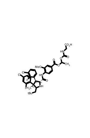 COc1cc(C(=O)OC(C)OC(=O)NCC(=O)O)ccc1NC(=O)[C@@H]1NC(CC(C)(C)C)[C@](C)(c2ccc(Cl)cc2F)[C@H]1c1cccc(Cl)c1F